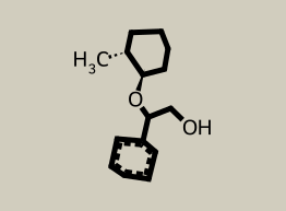 C[C@@H]1CCCC[C@H]1OC(CO)c1ccccc1